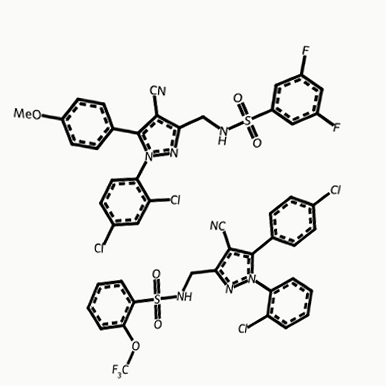 COc1ccc(-c2c(C#N)c(CNS(=O)(=O)c3cc(F)cc(F)c3)nn2-c2ccc(Cl)cc2Cl)cc1.N#Cc1c(CNS(=O)(=O)c2ccccc2OC(F)(F)F)nn(-c2ccccc2Cl)c1-c1ccc(Cl)cc1